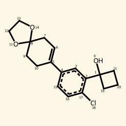 OC1(c2cc(C3=CCC4(CC3)OCCO4)ccc2Cl)CCC1